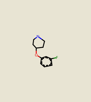 Fc1cccc(OC2CC[N]CC2)c1